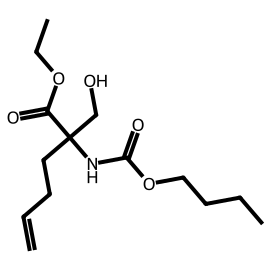 C=CCCC(CO)(NC(=O)OCCCC)C(=O)OCC